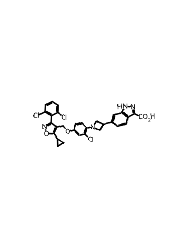 O=C(O)c1n[nH]c2cc(C3CN(c4ccc(OCc5c(-c6c(Cl)cccc6Cl)noc5C5CC5)cc4Cl)C3)ccc12